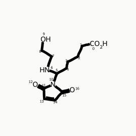 O=C(O)CCCCC(NCCO)N1C(=O)C=CC1=O